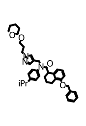 CC(C)c1ccc(N(Cc2cnn(CCCOC3CCCCO3)c2)C(=O)C2CCCc3c(OCc4ccccc4)cccc32)cc1